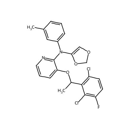 Cc1cccc(N(C2=COCO2)c2ncccc2OC(C)c2c(Cl)ccc(F)c2Cl)c1